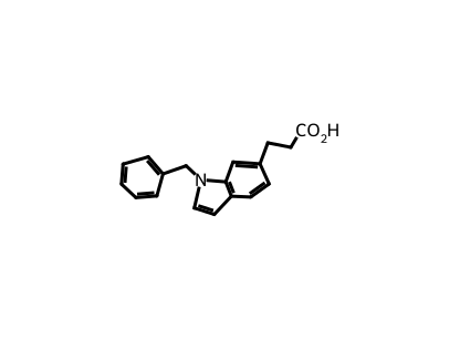 O=C(O)CCc1ccc2ccn(Cc3ccccc3)c2c1